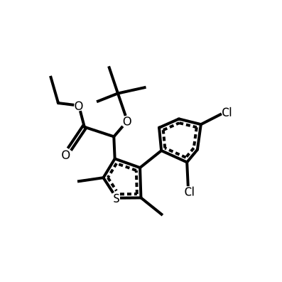 CCOC(=O)C(OC(C)(C)C)c1c(C)sc(C)c1-c1ccc(Cl)cc1Cl